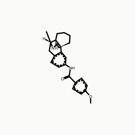 COc1ccc(C(=O)Nc2ccc3c(c2)[C@@]24CCCC[C@H]2[C@@H](C3)N(C)CC4)cc1